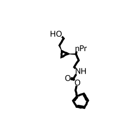 CCCC(CCNC(=O)OCc1ccccc1)[C@H]1C[C@H]1CCO